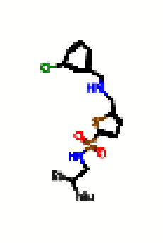 CCCCC(CC)CNS(=O)(=O)c1ccc(CNCc2cccc(Cl)c2)s1